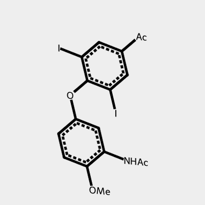 COc1ccc(Oc2c(I)cc(C(C)=O)cc2I)cc1NC(C)=O